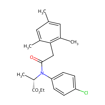 CCOC(=O)[C@H](C)N(C(=O)Cc1c(C)cc(C)cc1C)c1ccc(Cl)cc1